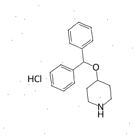 Cl.c1ccc(C(OC2CCNCC2)c2ccccc2)cc1